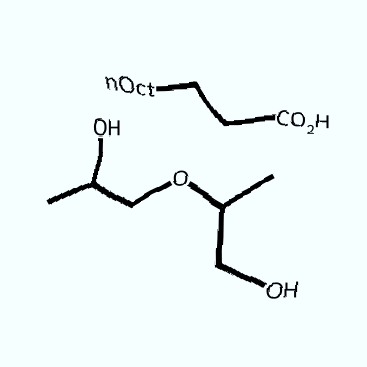 CC(O)COC(C)CO.CCCCCCCCCCC(=O)O